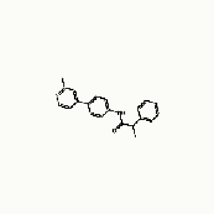 Cc1cc(-c2ccc(NC(=O)C(C)c3ccccc3)cc2)ccn1